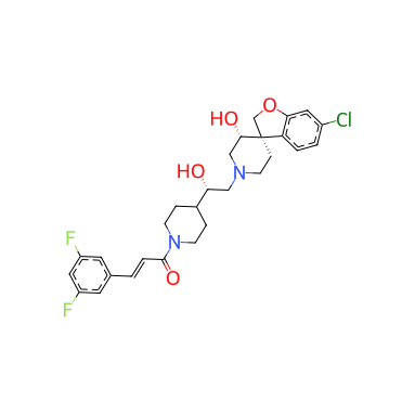 O=C(/C=C/c1cc(F)cc(F)c1)N1CCC([C@H](O)CN2CC[C@@]3(COc4cc(Cl)ccc43)[C@@H](O)C2)CC1